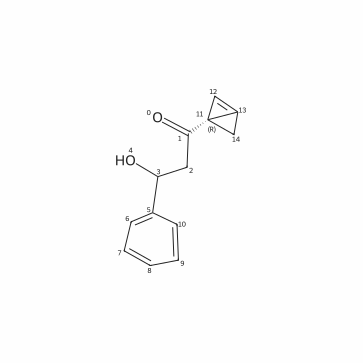 O=C(CC(O)c1ccccc1)[C@]12C=C1C2